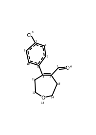 O=CC1=C(c2ccc(Cl)cc2)CCOCC1